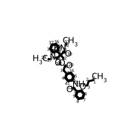 CCCCOc1ccccc1C(=O)Nc1ccc(CC(=O)OCC(C(=O)NCC)(C(=O)NCC)c2ccccc2)cc1